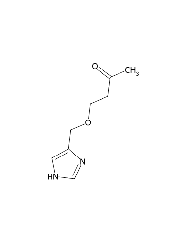 CC(=O)CCOCc1c[nH]cn1